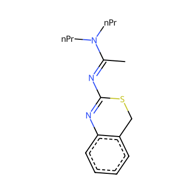 CCCN(CCC)/C(C)=N/C1=Nc2ccccc2CS1